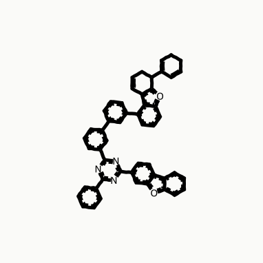 C1=CC(C2CC=Cc3c2oc2cccc(-c4cccc(-c5cccc(-c6nc(-c7ccccc7)nc(-c7ccc8c(c7)oc7ccccc78)n6)c5)c4)c32)=CCC1